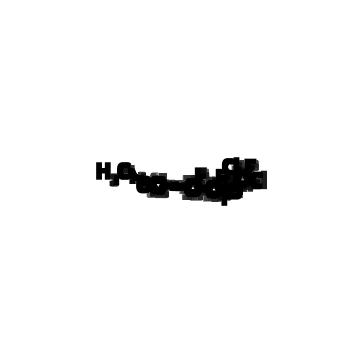 CCCCOc1ccc(C#Cc2ccc(-c3ccc(C(F)(F)Oc4cc(Cl)c(F)c(Cl)c4)c(F)c3)c(F)c2)cc1